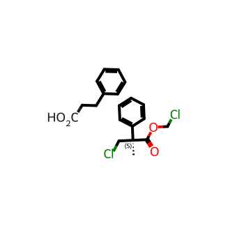 C[C@@](CCl)(C(=O)OCCl)c1ccccc1.O=C(O)CCc1ccccc1